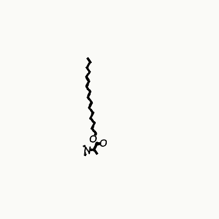 CCCCCCCCCCCCCCCCOC(=O)C(C)N(C)C